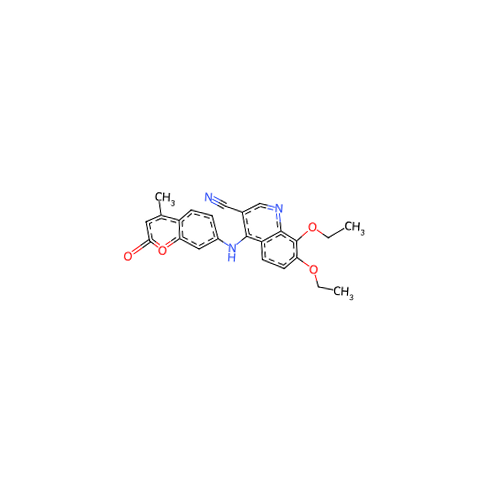 CCOc1ccc2c(Nc3ccc4c(C)cc(=O)oc4c3)c(C#N)cnc2c1OCC